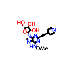 CONc1nc(C#Cc2ccncc2)nc2c1ncn2[C@@H]1O[C@H](CO)[C@@H](O)[C@H]1O